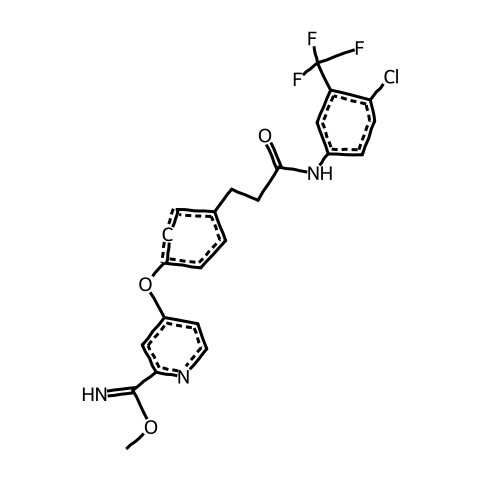 COC(=N)c1cc(Oc2ccc(CCC(=O)Nc3ccc(Cl)c(C(F)(F)F)c3)cc2)ccn1